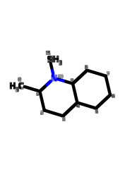 CC1CCC2CCCCC2N1[SiH3]